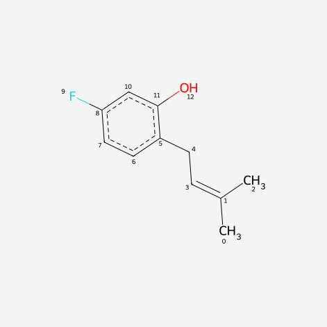 CC(C)=CCc1ccc(F)cc1O